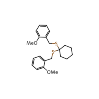 COc1ccccc1CSC1(SCc2ccccc2OC)CCCCC1